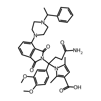 COc1ccc(C(CCC(N)=O)(N2C(=O)c3cccc(N4CCN(C(C)c5ccccc5)CC4)c3C2=O)n2c(C)cc(C(=O)O)c2C)cc1OC